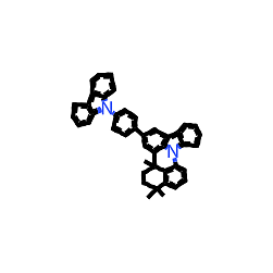 CC1(C)CCC2(C)c3c(cccc31)-n1c3ccccc3c3cc(-c4ccc(-n5c6ccccc6c6ccccc65)cc4)cc2c31